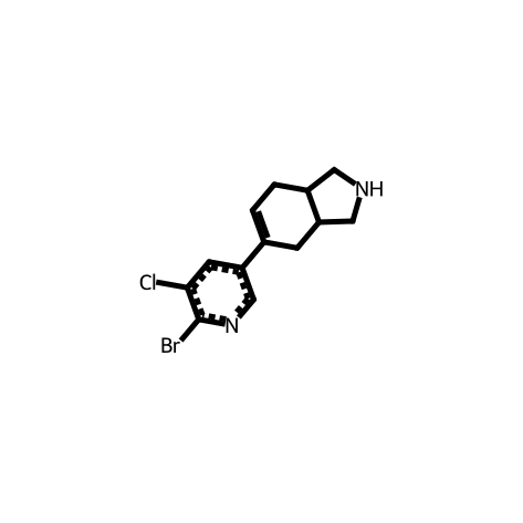 Clc1cc(C2=CCC3CNCC3C2)cnc1Br